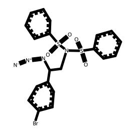 [N-]=[N+]=NC(CN(S(=O)(=O)c1ccccc1)S(=O)(=O)c1ccccc1)c1ccc(Br)cc1